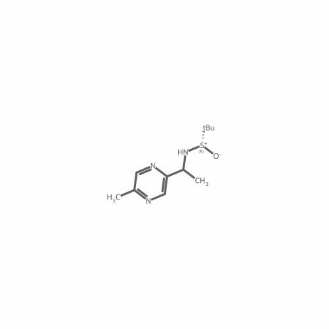 Cc1cnc(C(C)N[S@@+]([O-])C(C)(C)C)cn1